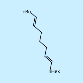 [CH2]CCCC=CCCCC=CCCCCCC